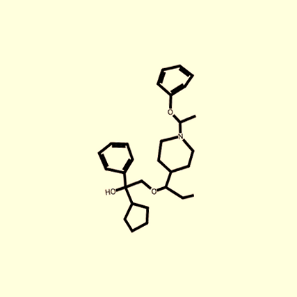 CCC(OCC(O)(c1ccccc1)C1CCCC1)C1CCN(C(C)Oc2ccccc2)CC1